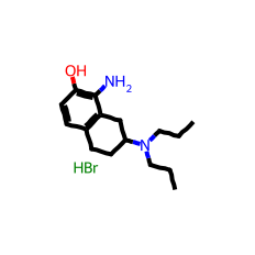 Br.CCCN(CCC)C1CCc2ccc(O)c(N)c2C1